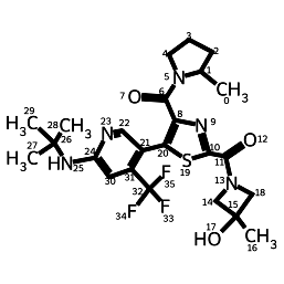 CC1CCCN1C(=O)c1nc(C(=O)N2CC(C)(O)C2)sc1-c1cnc(NC(C)(C)C)cc1C(F)(F)F